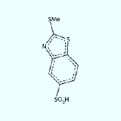 CSc1nc2cc(S(=O)(=O)O)ccc2s1